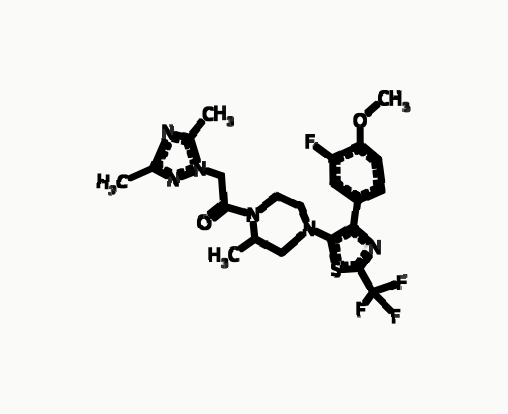 COc1ccc(-c2nc(C(F)(F)F)sc2N2CCN(C(=O)Cn3nc(C)nc3C)C(C)C2)cc1F